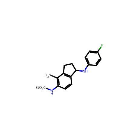 CCOC(=O)Nc1ccc2c(c1[N+](=O)[O-])CCC2Nc1ccc(F)cc1